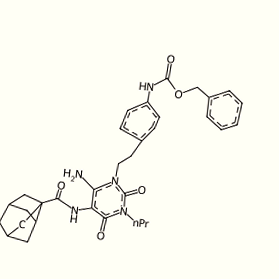 CCCn1c(=O)c(NC(=O)C23CC4CC(CC2C4)C3)c(N)n(CCc2ccc(NC(=O)OCc3ccccc3)cc2)c1=O